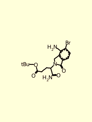 CC(C)(C)OC(=O)CCC(C(N)=O)N1Cc2c(ccc(Br)c2N)C1=O